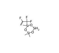 C=C(F)C(F)(F)[Si]1(C)O[SiH2]O[Si](C)(C)O1